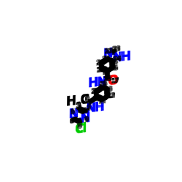 C[C@H](Nc1cncc(Cl)n1)c1cccc(NC(=O)c2ccc3nc[nH]c3c2)c1